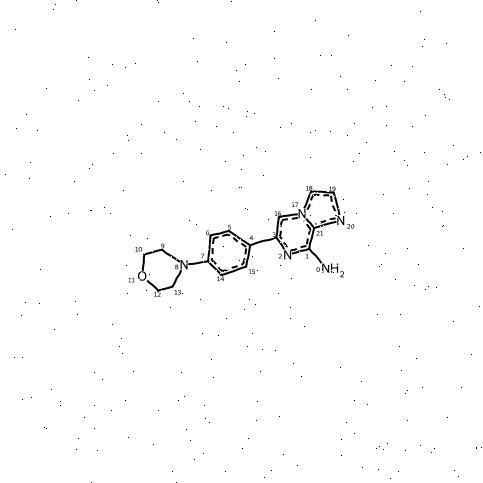 Nc1nc(-c2ccc(N3CCOCC3)cc2)cn2ccnc12